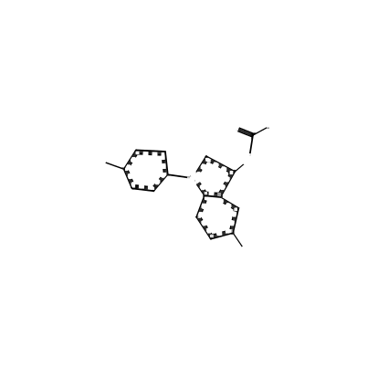 CCC(=O)Oc1cn(-c2ccc(F)cc2)c2ccc(Cl)cc12